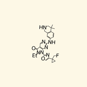 CCn1c(=O)c2cnc(Nc3ccc4c(c3)CNCC4(C)C)nc2n1-c1nc(C2(CF)CC2)co1